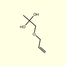 C=CCOCC(C)(O)O